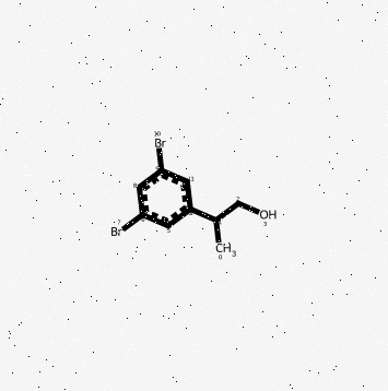 CC(CO)c1cc(Br)cc(Br)c1